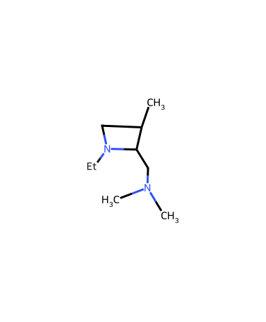 CCN1CC(C)C1CN(C)C